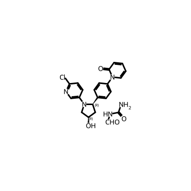 NC(=O)NC=O.O=c1ccccn1-c1ccc([C@H]2C[C@@H](O)CN2c2ccc(Cl)nc2)cc1